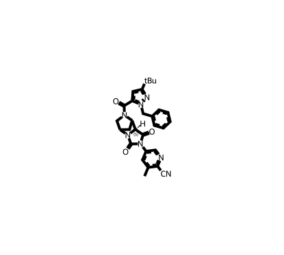 Cc1cc(N2C(=O)[C@@H]3C4CC(CN4C(=O)c4cc(C(C)(C)C)nn4Cc4ccccc4)N3C2=O)cnc1C#N